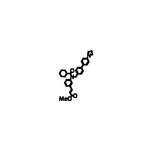 COC(=O)/C=C/c1cccc(N(Cc2ccc(-c3ccc(N4CCC4)cc3)cc2)C(=O)C2CCCCC2)c1